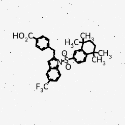 CC1(C)CCC(C)(C)c2cc(S(=O)(=O)n3c(Cc4ccc(C(=O)O)cc4)cc4cc(C(F)(F)F)ccc43)ccc21